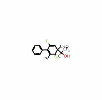 CC(C)C1=C(c2ccccc2)C(F)=CC(C=O)(C(O)(C(F)(F)F)C(F)(F)F)C1F